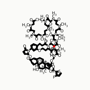 CC(=O)CN(C)C(=O)CN(C)C(=O)CN(C)C(=O)CN(C)C(=O)CN(C)C(=O)CN(C)C(=O)CN(C)C(=O)CN(C)C(=O)CN(C)C(=O)CN(C)C(=O)CCCOc1cc(N2C(=O)C=CC2=O)ccc1CCC(=O)N[C@@H](C)C(=O)N[C@@H](C)C(=O)NCOCC(=O)[C@@]12O[C@H](c3sccc3F)O[C@@H]1C[C@H]1[C@@H]3CCC4=CC(=O)C=C[C@]4(C)[C@H]3[C@@H](O)C[C@@]12C